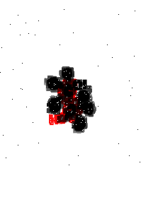 CO[C@H]1O[C@H](CO[C@H]2O[C@H](CO)[C@@H](OCc3ccccc3)[C@H](OCc3ccccc3)[C@H]2OCc2ccccc2)[C@@H](OCc2ccccc2)[C@H](OCc2ccccc2)[C@H]1OCc1ccccc1